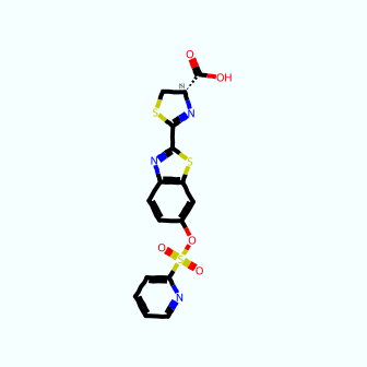 O=C(O)[C@H]1CSC(c2nc3ccc(OS(=O)(=O)c4ccccn4)cc3s2)=N1